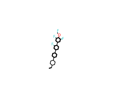 C=CC1CCC(c2ccc(-c3ccc(-c4cc(F)c(OCF)c(F)c4)c(F)c3)cc2)CC1